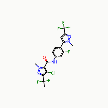 Cn1nc(C(F)(F)F)cc1-c1ccc(NC(=O)c2c(Cl)c(C(C)(F)F)nn2C)cc1F